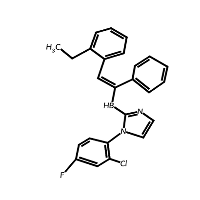 CCc1ccccc1C=C(Bc1nccn1-c1ccc(F)cc1Cl)c1ccccc1